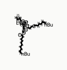 CCCC/C=C\CCCCCCCC(=O)OC[C@@H](COP(=O)(OCC)OCC[N+](C)(C)C)OC(=O)CCCCCCC/C=C\CCCC